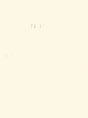 CC(=O)Nc1sc2c(c1C)CCCC2=O